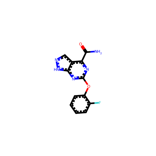 NC(=O)c1nc(Oc2ccccc2F)nc2[nH]n[c]c12